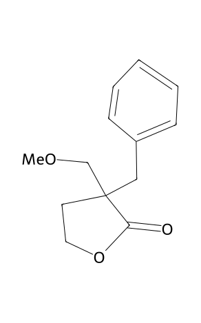 COCC1(Cc2ccccc2)CCOC1=O